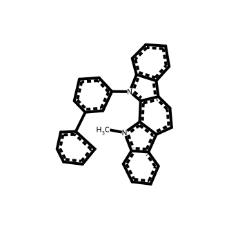 Cn1c2ccccc2c2ccc3c4ccccc4n(-c4cccc(-c5ccccc5)c4)c3c21